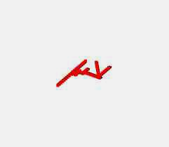 C=CCCCCCCCCCCCCCCCCC(=CCCC(C)CCCC(C)CCCC(C)CC(CCCCC)CCCCC=CCCCCCCCC(CCC)=C(CCCCCCCCCCCCC=C)CCCCCCCCCCCCC=C)CCCCCCCCC=CCCCCCCCC